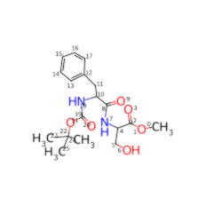 COC(=O)C(CO)NC(=O)C(Cc1ccccc1)NC(=O)OC(C)(C)C